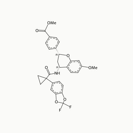 COC(=O)c1ccc([C@H]2C[C@@H](NC(=O)C3(c4ccc5c(c4)OC(F)(F)O5)CC3)c3ccc(OC)cc3O2)cc1